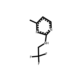 Cc1ccnc(NCC(F)(F)F)n1